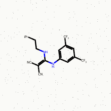 CC(C)CCNC(Nc1cc(C(F)(F)F)cc(C(F)(F)F)c1)=C(C#N)C#N